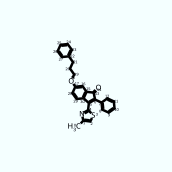 Cc1csc(C2=C(c3ccccc3)C(=O)c3cc(OCCCc4ccccc4)ccc32)n1